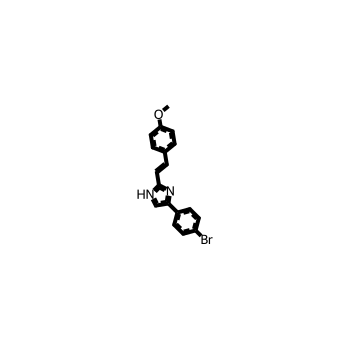 COc1ccc(/C=C/c2nc(-c3ccc(Br)cc3)c[nH]2)cc1